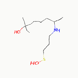 CC(CCCC(C)(C)O)NCCCSO